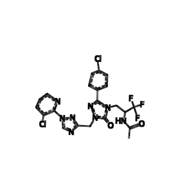 CC(=O)NC(Cn1c(-c2ccc(Cl)cc2)nn(Cc2ncn(-c3ncccc3Cl)n2)c1=O)C(F)(F)F